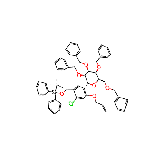 C=CCOc1cc(Cl)c(CO[Si](c2ccccc2)(c2ccccc2)C(C)(C)C)cc1[C@H]1O[C@H](COCc2ccccc2)[C@H](OCc2ccccc2)[C@H](OCc2ccccc2)[C@@H]1OCc1ccccc1